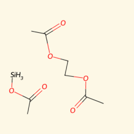 CC(=O)OCCOC(C)=O.CC(=O)O[SiH3]